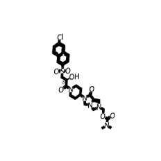 CN(C)C(=O)OCN1C=C2C(=O)N(C3CCN(C(=O)[C@H](O)CS(=O)(=O)c4ccc5cc(Cl)ccc5c4)CC3)CN2C1